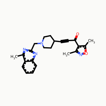 Cc1noc(C)c1C(=O)C#CC1CCN(Cc2nc(C)c3ccccc3n2)CC1